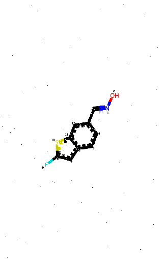 O/N=C/c1ccc2cc(F)sc2c1